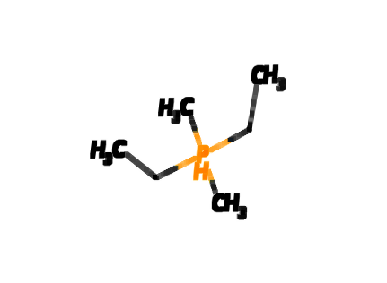 CC[PH](C)(C)CC